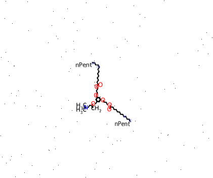 C=C(CCN(C)C)OCc1cc(OCCCOC(=O)CCCCCCC/C=C\C/C=C\CCCCC)cc(OCCCOC(=O)CCCCCCC/C=C/C/C=C\CCCCC)c1